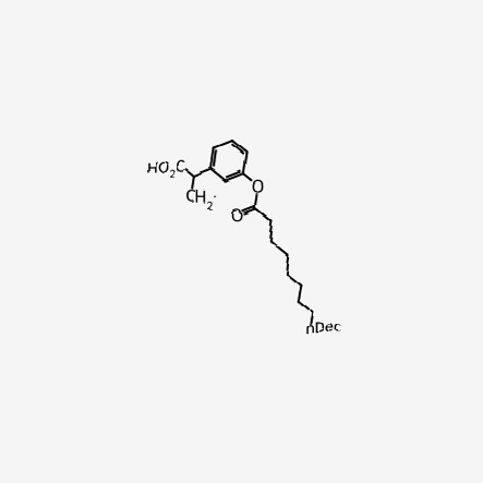 [CH2]C(C(=O)O)c1cccc(OC(=O)CCCCCCCCCCCCCCCCC)c1